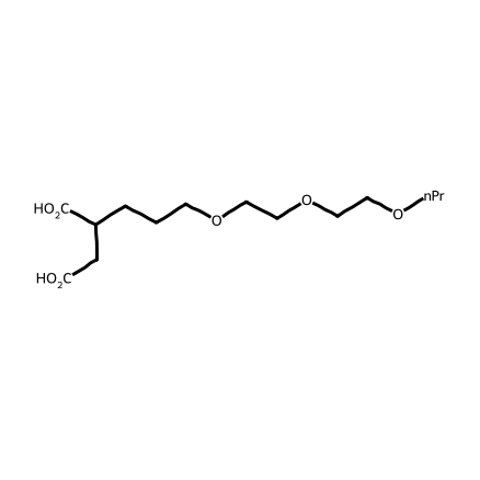 CCCOCCOCCOCCCC(CC(=O)O)C(=O)O